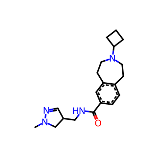 CN1CC(CNC(=O)c2ccc3c(c2)CCN(C2CCC2)CC3)C=N1